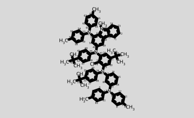 Cc1ccc(N(c2ccc(C)cc2)c2cccc(N(c3ccc(C(C)(C)C)cc3)c3cc(C(C)(C)C)cc(N(c4ccc(C(C)(C)C)cc4)c4cc(N(c5ccc(C)cc5)c5ccc(C)cc5)c5c(c4)c4ccccc4n5C)c3Cl)c2)cc1